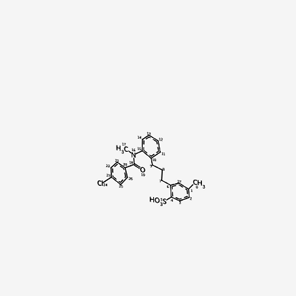 Cc1ccc(S(=O)(=O)O)c(CCCc2ccccc2N(C)C(=O)c2ccc(Cl)cc2)c1